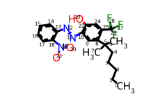 CCCCCC(C)(C)c1cc(N=Nc2ccccc2[N+](=O)[O-])c(O)cc1C(F)(F)F